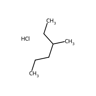 CCCC(C)CC.Cl